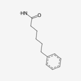 [NH]C(=O)CCCCCc1ccccc1